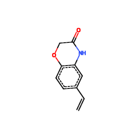 C=Cc1ccc2c(c1)NC(=O)CO2